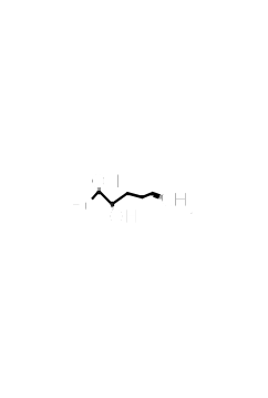 C=CCCC(O)C(O)CC